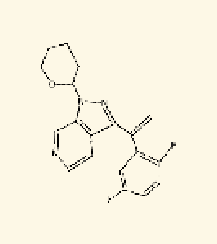 C=C(c1cc(F)ccc1F)c1nn(C2CCCCO2)c2cnccc12